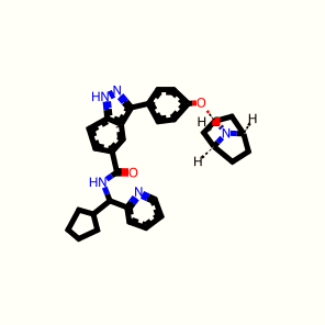 CN1[C@@H]2CC[C@H]1C[C@H](Oc1ccc(-c3n[nH]c4ccc(C(=O)NC(c5ccccn5)C5CCCC5)cc34)cc1)C2